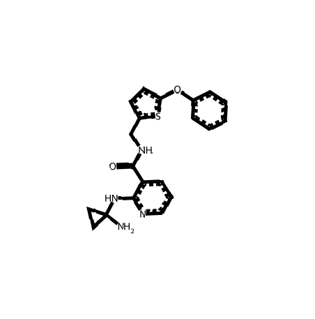 NC1(Nc2ncccc2C(=O)NCc2ccc(Oc3ccccc3)s2)CC1